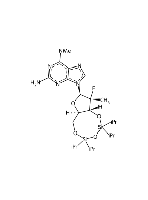 CNc1nc(N)nc2c1ncn2[C@@H]1O[C@@H]2CO[Si](C(C)C)(C(C)C)O[Si](C(C)C)(C(C)C)O[C@H]2[C@@]1(C)F